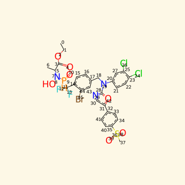 CCOC(=O)C(C)N(O)[PH](=O)C(F)(F)c1ccc(CN(c2ccc(Cl)c(Cl)c2)c2ncc(-c3ccc(S(C)(=O)=O)cc3)o2)cc1Br